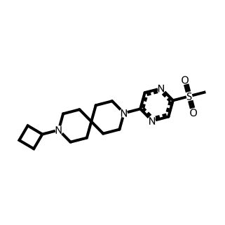 CS(=O)(=O)c1cnc(N2CCC3(CC2)CCN(C2CCC2)CC3)cn1